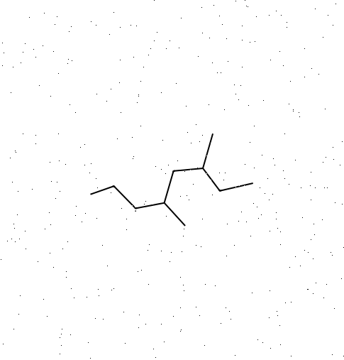 CC[CH]C(C)CC(C)CC